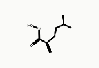 C=C(CCC(C)C)C(=O)[N]O